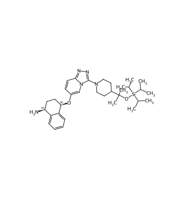 CC(C)[Si](OC(C)(C)C1CCN(c2nnc3ccc(O[C@@H]4CC[C@H](N)c5ccccc54)cn23)CC1)(C(C)C)C(C)C